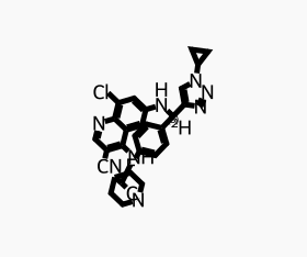 [2H][C@](Nc1cc(Cl)c2ncc(C#N)c(NC3CN4CCC3CC4)c2c1)(c1ccc(F)cc1)c1cn(C2CC2)nn1